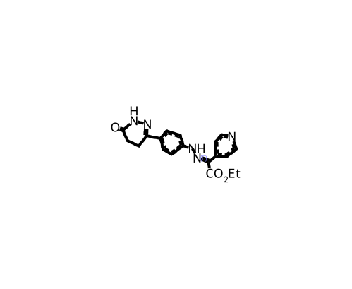 CCOC(=O)/C(=N/Nc1ccc(C2=NNC(=O)CC2)cc1)c1ccncc1